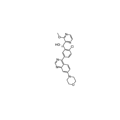 COc1nccnc1[C@@H](O)c1cc(-c2ncnc3cc(N4CCOCC4)ccc23)ccc1Cl